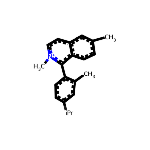 Cc1ccc2c(-c3ccc(C(C)C)cc3C)[n+](C)ccc2c1